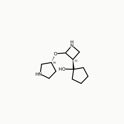 OC1([C@@H]2CNC2O[C@@H]2CCNC2)CCCC1